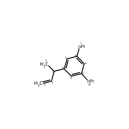 [CH2]C(C=C)c1cc(CCC)cc(CCC)c1